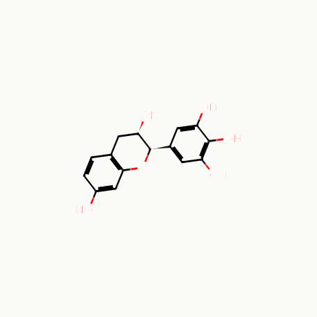 Oc1ccc2c(c1)O[C@H](c1cc(O)c(O)c(O)c1)[C@H](O)C2